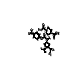 COC(=O)[C@@H]1C[C@@H](N(C[C@@H]2CN(C(=O)O)CCN2C(=O)O)C(=O)Oc2ccc([N+](=O)[O-])cc2)CN1C(C)C